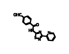 O=Cc1ccc(C(=O)Nc2nc(-c3ccccn3)ns2)cc1